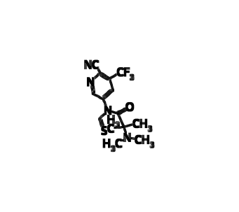 CN(C)C(C)(C)C(=O)N(C=S)c1cnc(C#N)c(C(F)(F)F)c1